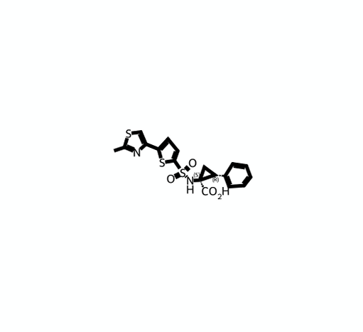 Cc1nc(-c2ccc(S(=O)(=O)N[C@@]3(C(=O)O)C[C@@H]3c3ccccc3)s2)cs1